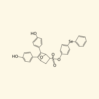 O=S(=O)(Oc1ccc([Se]c2ccccc2)cc1)C1CC2OC1C(c1ccc(O)cc1)=C2c1ccc(O)cc1